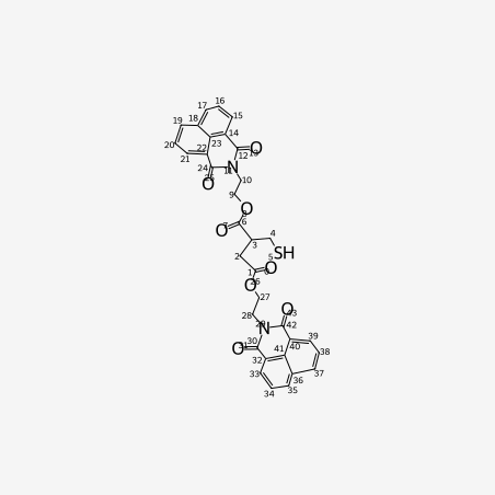 O=C(CC(CS)C(=O)OCCN1C(=O)c2cccc3cccc(c23)C1=O)OCCN1C(=O)c2cccc3cccc(c23)C1=O